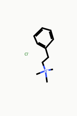 C[N+](C)(C)CCc1ccccc1.[Cl-]